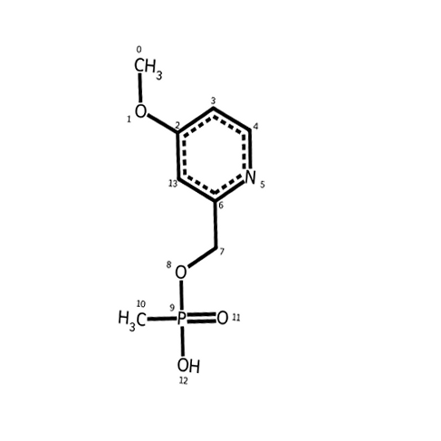 COc1ccnc(COP(C)(=O)O)c1